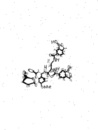 COc1ccc([C@H](CC(=O)ON2C(=O)CCC2=O)NC(=O)[C@@H](NC(=O)c2ccc3c(c2)B(O)OC3)[C@H](C)NC(=O)c2ccc3c(c2)B(O)OC3)cc1